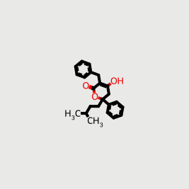 CC(C)CCC1(c2ccccc2)CC(O)=C(Cc2ccccc2)C(=O)O1